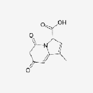 CC1=C[C@@H](C(=O)O)N2C(=O)CC(=O)C=C12